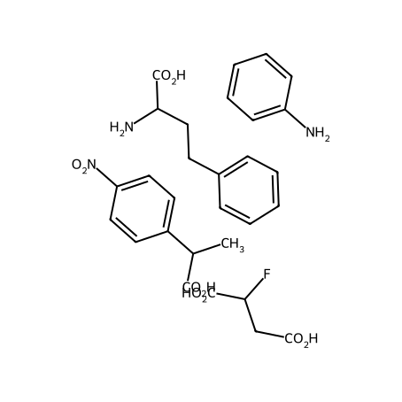 CC(C(=O)O)c1ccc([N+](=O)[O-])cc1.NC(CCc1ccccc1)C(=O)O.Nc1ccccc1.O=C(O)CC(F)C(=O)O